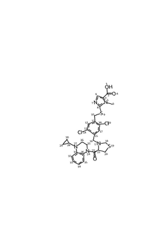 Cn1c(C(=O)O)cnc1SCc1cc(Cl)c(CN2CSC[C@H]2C(=O)N2CCN(C3CC3)c3ccccc32)cc1Cl